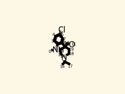 CNc1ccc(Cl)cc1C1(C=O)CCN(C(C)C)CC1